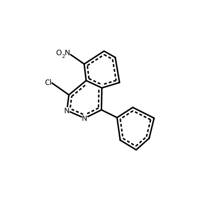 O=[N+]([O-])c1cccc2c(-c3ccccc3)nnc(Cl)c12